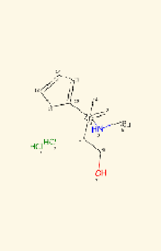 Cl.Cl.[CH2]=[Zr]([CH3])([CH2]CO)([NH]C(C)(C)C)[C]1=CC=CC1